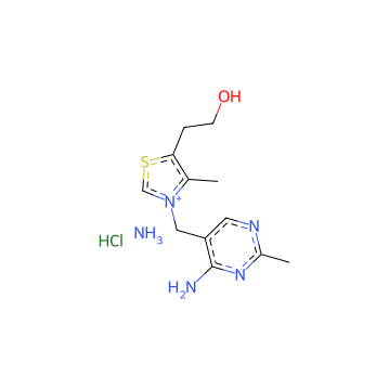 Cc1ncc(C[n+]2csc(CCO)c2C)c(N)n1.Cl.N